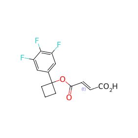 O=C(O)/C=C/C(=O)OC1(c2cc(F)c(F)c(F)c2)CCC1